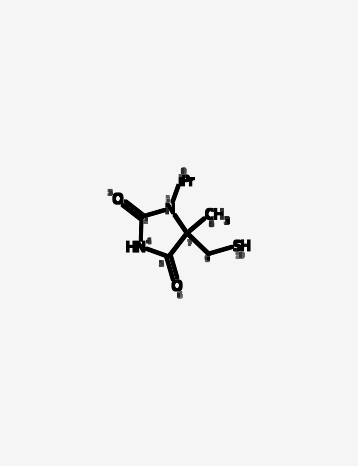 CC(C)N1C(=O)NC(=O)C1(C)CS